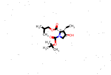 CC[C@H]1[C@@H](C(=O)OCC(C)C)N(C(=O)OC(C)(C)C)C[C@@H]1O